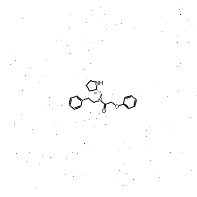 O=C(COc1ccccc1)N(CCc1ccccc1)C[C@@H]1CCCN1